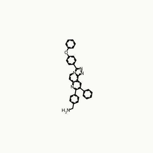 NCc1ccc(-c2nc3ccn4c(-c5ccc(Oc6ccccc6)cc5)nnc4c3cc2-c2ccccc2)cc1